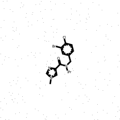 CC(C)N(Cc1ccc(Cl)c(Br)c1)C(=O)c1cn(C)cn1